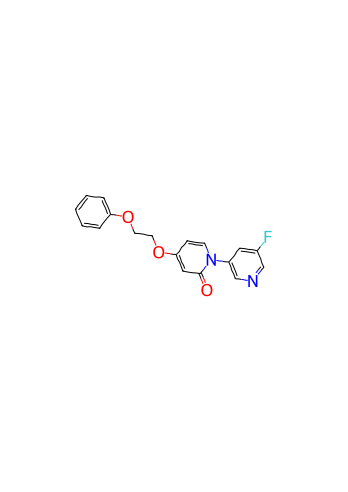 O=c1cc(OCCOc2ccccc2)ccn1-c1cncc(F)c1